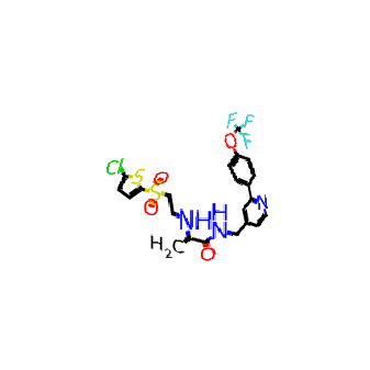 C=C(NCCS(=O)(=O)c1ccc(Cl)s1)C(=O)NCc1ccnc(-c2ccc(OC(F)(F)F)cc2)c1